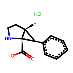 Cl.O=C(O)[C@@]12NCC[C@@H]1[C@H]2c1ccccc1